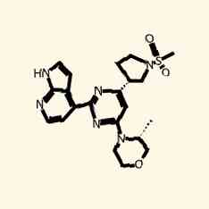 C[C@@H]1COCCN1c1cc([C@@H]2CCN(S(C)(=O)=O)C2)nc(-c2ccnc3[nH]ccc23)n1